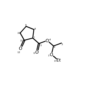 CCOC(C)OC(=O)C1CCCC1=O